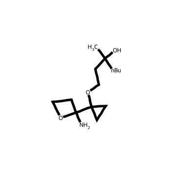 CCCCC(C)(O)CCOC1(C2(N)CCO2)CC1